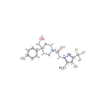 Cc1c(Cl)c(C(F)(F)F)nn1CC(=O)N1CCC(CO)(c2ccc(Cl)cc2)CC1